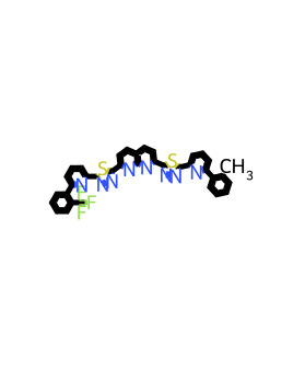 Cc1ccccc1-c1cccc(-c2nnc(-c3ccc4ccc(-c5nnc(-c6cccc(-c7ccccc7C(F)(F)F)n6)s5)nc4n3)s2)n1